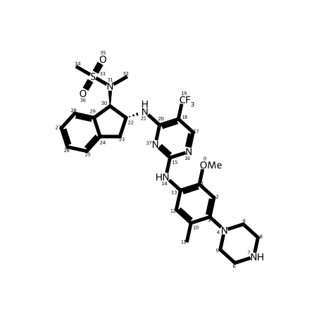 COc1cc(N2CCNCC2)c(C)cc1Nc1ncc(C(F)(F)F)c(N[C@@H]2Cc3ccccc3[C@H]2N(C)S(C)(=O)=O)n1